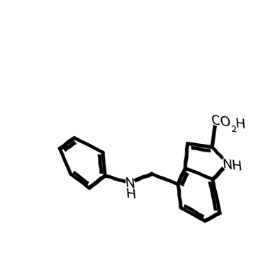 O=C(O)c1cc2c(CNc3ccccc3)cccc2[nH]1